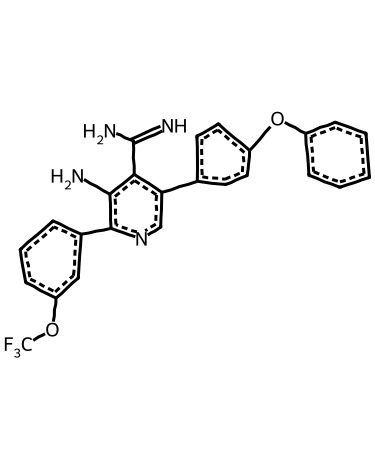 N=C(N)c1c(-c2ccc(Oc3ccccc3)cc2)cnc(-c2cccc(OC(F)(F)F)c2)c1N